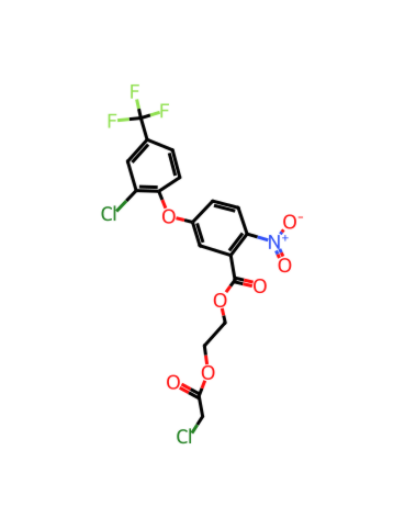 O=C(CCl)OCCOC(=O)c1cc(Oc2ccc(C(F)(F)F)cc2Cl)ccc1[N+](=O)[O-]